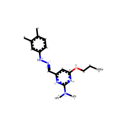 CCCN(CCC)c1nc(/C=N/Nc2ccc(C)c(C)c2)cc(OCCNC)n1